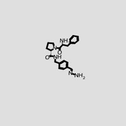 NN=Cc1ccc(CNC(=O)[C@@H]2CCCN2C(=O)[C@H](N)Cc2ccccc2)cc1